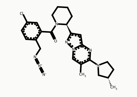 Cc1cn2nc([C@@H]3CCCCN3C(=O)c3cc(Cl)ccc3CN=[N+]=[N-])cc2nc1N1CC[C@H](C)C1